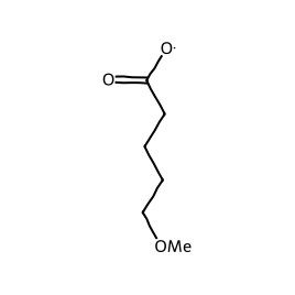 [CH2]OCCCCC([O])=O